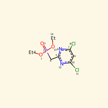 CCOP(=O)(Cc1nc(Cl)cc(Cl)n1)OCC